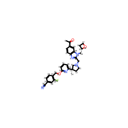 CC(=O)c1ccc2nc(CN3CC[C@@](C)(c4cccc(OCc5ccc(C#N)cc5F)n4)C3)n(C[C@@H]3CCO3)c2c1